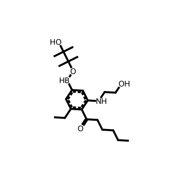 CCCCCC(=O)c1c(CC)cc(BOC(C)(C)C(C)(C)O)cc1NCCO